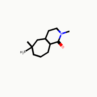 BC1(C)CCCC2C(=O)N(C)CCC2C1